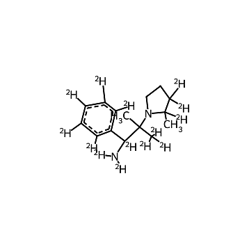 [2H]c1c([2H])c([2H])c(C([2H])(N([2H])[2H])C(C)(N2CCC([2H])([2H])C2([2H])C)C([2H])([2H])[2H])c([2H])c1[2H]